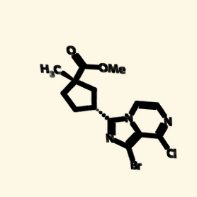 COC(=O)[C@@]1(C)CC[C@@H](c2nc(Br)c3c(Cl)nccn23)C1